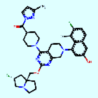 CCc1c(F)ccc2cc(O)cc(N3CCc4c(nc(OC[C@@]56CCCN5C[C@H](F)C6)nc4N4CCC(C(=O)n5ccc(C)n5)CC4)C3)c12